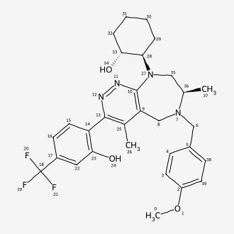 COc1ccc(CN2Cc3c(nnc(-c4ccc(C(F)(F)F)cc4O)c3C)N([C@@H]3CCCC[C@H]3O)C[C@H]2C)cc1